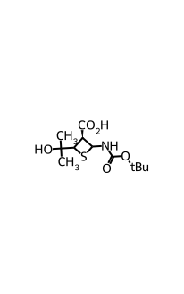 CC(C)(C)OC(=O)NC1SC(C(C)(C)O)[C@H]1C(=O)O